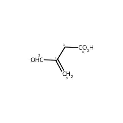 C=C([C]=O)CC(=O)O